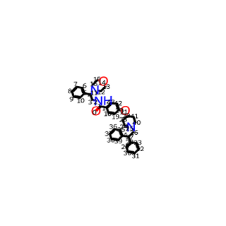 O=C(NCC(c1ccccc1)N1CCOCC1)c1ccc(OC2CCN(CC(c3ccccc3)c3ccccc3)CC2)cc1